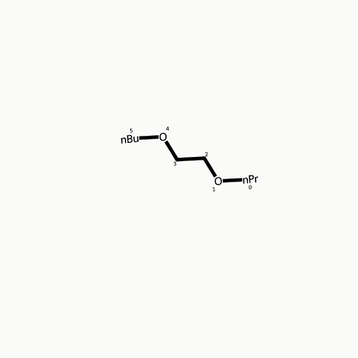 C[CH]COCCOCCCC